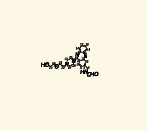 O=CNCc1ccc2c(c1)Sc1ccccc1N=C2N1CCN(CCOCCO)CC1